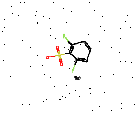 O=S(=O)([O-])c1c(F)cccc1F.[Na+]